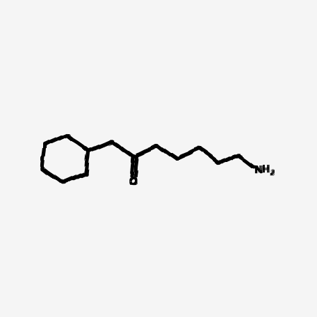 NCCCCCC(=O)CC1CCCCC1